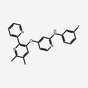 Cc1cc(Oc2ccnc(Nc3cccc(F)c3)c2)c(-c2ccccn2)nc1C